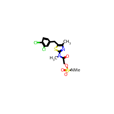 CNS(=O)(=O)OCC(=O)N(C)c1nc(C)c(Cc2ccc(Cl)c(Cl)c2)s1